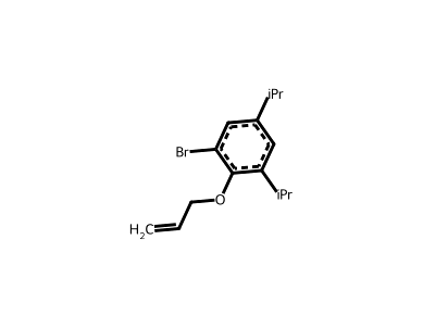 C=CCOc1c(Br)cc(C(C)C)cc1C(C)C